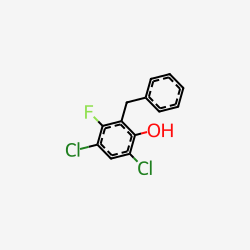 Oc1c(Cl)cc(Cl)c(F)c1Cc1ccccc1